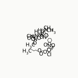 CCCCCOC(=O)COc1cc(N2C(=O)C3=C(CCCC3)C2=O)c(F)cc1Cl.COc1cc(OC)nc(NC(=O)NS(=O)(=O)c2ncccc2C(=O)N(C)C)n1